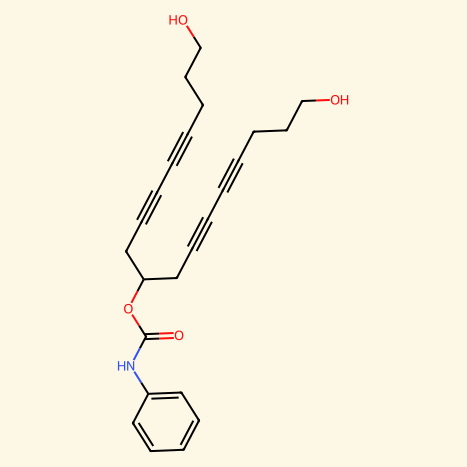 O=C(Nc1ccccc1)OC(CC#CC#CCCCO)CC#CC#CCCCO